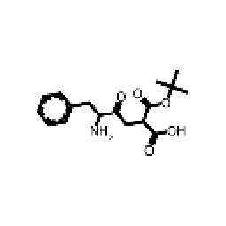 CC(C)(C)OC(=O)C(CC(=O)C(N)Cc1ccccc1)C(=O)O